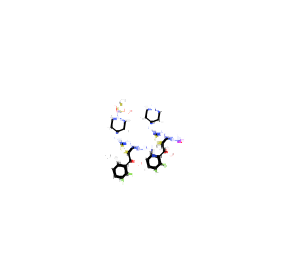 C=O.COc1ccc(F)c(F)c1C(=O)c1sc(NC2CCN(S(C)(=O)=O)CC2)nc1N.COc1ccc(F)c(F)c1C(=O)c1sc(NC2CCNCC2)nc1N